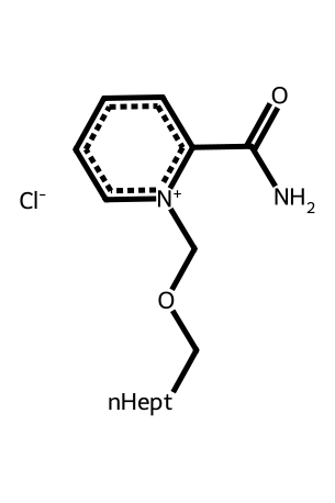 CCCCCCCCOC[n+]1ccccc1C(N)=O.[Cl-]